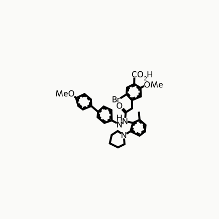 COc1ccc(-c2ccc(NN(C(=O)Cc3cc(OC)c(C(=O)O)cc3Br)c3c(C)cccc3N3CCCCC3)cc2)cc1